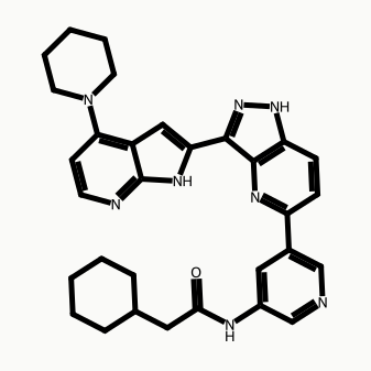 O=C(CC1CCCCC1)Nc1cncc(-c2ccc3[nH]nc(-c4cc5c(N6CCCCC6)ccnc5[nH]4)c3n2)c1